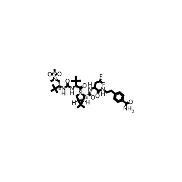 CN(C[C@@H](NC(=O)N[C@H](C(=O)N1C[C@H]2[C@@H]([C@H]1C(=O)NC(CC(F)F)C(=O)NCCc1ccc(C(N)=O)cc1)C2(C)C)C(C)(C)C)C(C)(C)C)S(C)(=O)=O